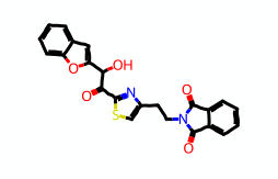 O=C(c1nc(CCN2C(=O)c3ccccc3C2=O)cs1)C(O)c1cc2ccccc2o1